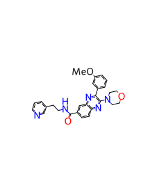 COc1cccc(-c2nc3cc(C(=O)NCCc4cccnc4)ccc3nc2N2CCOCC2)c1